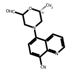 C[C@@H]1CN(c2ccc(C#N)c3ncccc23)CC(C=O)O1